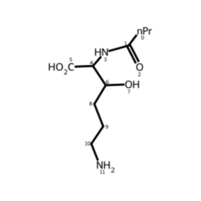 CCCC(=O)NC(C(=O)O)C(O)CCCN